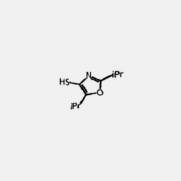 CC(C)c1nc(S)c(C(C)C)o1